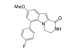 COc1cc(-c2ccc(F)cc2)c2c(c1)cc1n2CCNC1=O